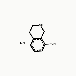 Cl.N#Cc1cccc2c1CNCC2